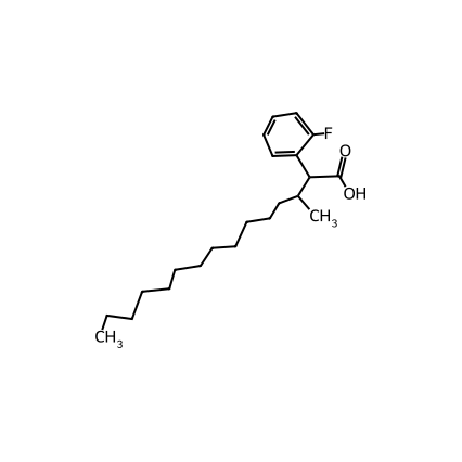 CCCCCCCCCCCCC(C)C(C(=O)O)c1ccccc1F